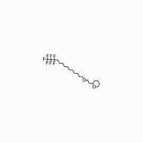 FC(F)(F)C(F)(F)C(F)(F)CCCCCCCCCCCOCCC1CCCCO1